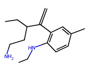 C=C(c1cc(C)ccc1NCC)C(CC)CCN